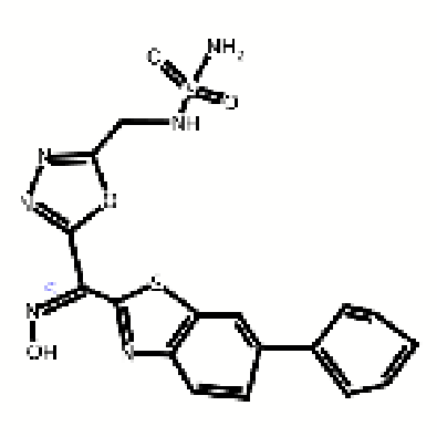 NS(=O)(=O)NCc1nnc(/C(=N/O)c2nc3ccc(-c4ccccc4)cc3s2)o1